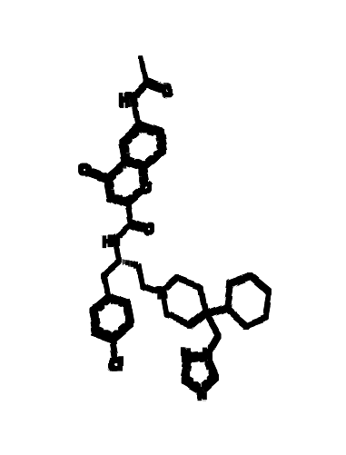 CC(=O)Nc1ccc2oc(C(=O)N[C@H](CCN3CCC(Cn4cncn4)(C4CCCCC4)CC3)Cc3ccc(Cl)cc3)cc(=O)c2c1